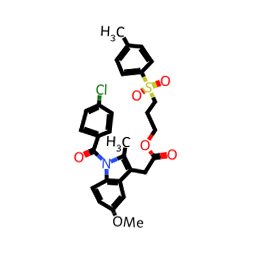 COc1ccc2c(c1)c(CC(=O)OCCCS(=O)(=O)c1ccc(C)cc1)c(C)n2C(=O)c1ccc(Cl)cc1